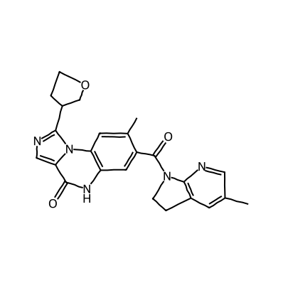 Cc1cnc2c(c1)CCN2C(=O)c1cc2[nH]c(=O)c3cnc(C4CCOC4)n3c2cc1C